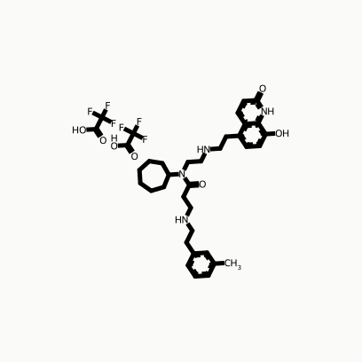 Cc1cccc(CCNCCC(=O)N(CCNCCc2ccc(O)c3[nH]c(=O)ccc23)C2CCCCCC2)c1.O=C(O)C(F)(F)F.O=C(O)C(F)(F)F